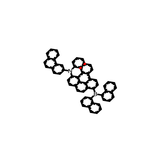 c1ccc(N(c2ccc3ccc4ccccc4c3c2)c2ccc3ccc4c(B(c5cccc6ccccc56)c5cccc6ccccc56)ccc5c6ccccc6c2c3c45)cc1